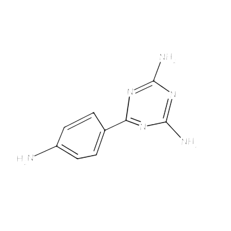 Nc1ccc(-c2nc(N)nc(N)n2)cc1